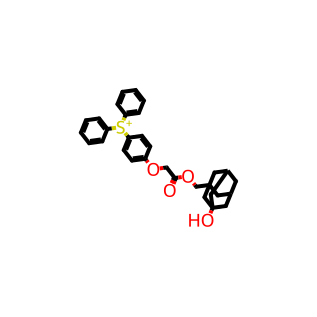 O=C(COc1ccc([S+](c2ccccc2)c2ccccc2)cc1)OCC12CC3CC(CC(O)(C3)C1)C2